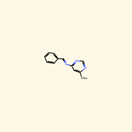 COc1cc(N=Cc2ccccc2)ncn1